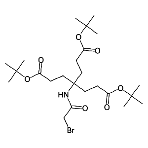 CC(C)(C)OC(=O)CCC(CCC(=O)OC(C)(C)C)(CCC(=O)OC(C)(C)C)NC(=O)CBr